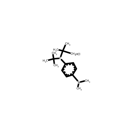 CN(C)c1ccc(P(C(C)(C)C)C(C)(C)C)cc1.Cl